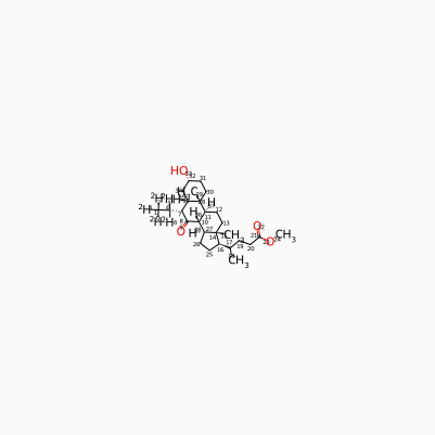 [2H]C([2H])([2H])C([2H])([2H])[C@H]1C(=O)[C@@H]2[C@H](CC[C@]3(C)[C@@H](C(C)CCC(=O)OC)CC[C@@H]23)[C@@]2(C)CC[C@@H](O)C[C@@H]12